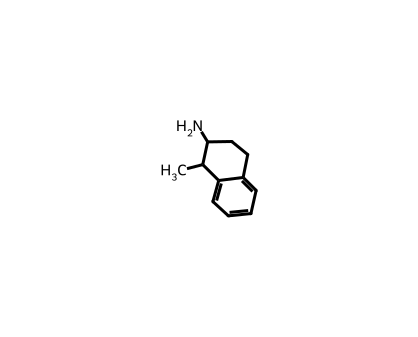 CC1c2ccccc2CCC1N